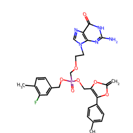 C=C1OC(COP(=O)(COCCn2cnc3c(=O)[nH]c(N)nc32)OCc2ccc(C)c(F)c2)=C(c2ccc(C)cc2)O1